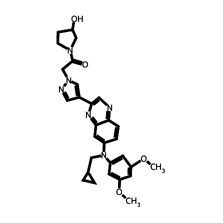 COc1cc(OC)cc(N(CC2CC2)c2ccc3ncc(-c4cnn(CC(=O)N5CCC(O)C5)c4)nc3c2)c1